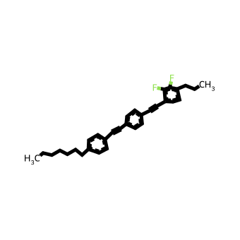 CCCCCCCc1ccc(C#Cc2ccc(C#Cc3ccc(CCC)c(F)c3F)cc2)cc1